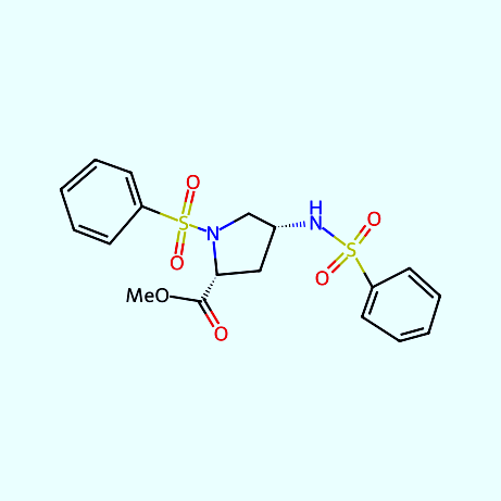 COC(=O)[C@H]1C[C@@H](NS(=O)(=O)c2ccccc2)CN1S(=O)(=O)c1ccccc1